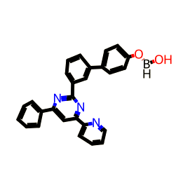 OBOc1ccc(-c2cccc(-c3nc(-c4ccccc4)cc(-c4ccccn4)n3)c2)cc1